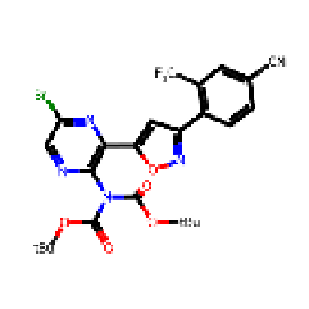 CC(C)(C)OC(=O)N(C(=O)OC(C)(C)C)c1ncc(Br)nc1-c1cc(-c2ccc(C#N)cc2C(F)(F)F)no1